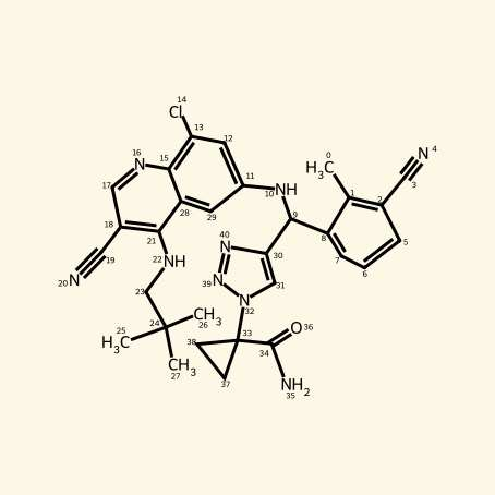 Cc1c(C#N)cccc1C(Nc1cc(Cl)c2ncc(C#N)c(NCC(C)(C)C)c2c1)c1cn(C2(C(N)=O)CC2)nn1